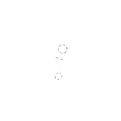 Cc1ccc(S(=O)(=O)NCc2cscn2)cc1